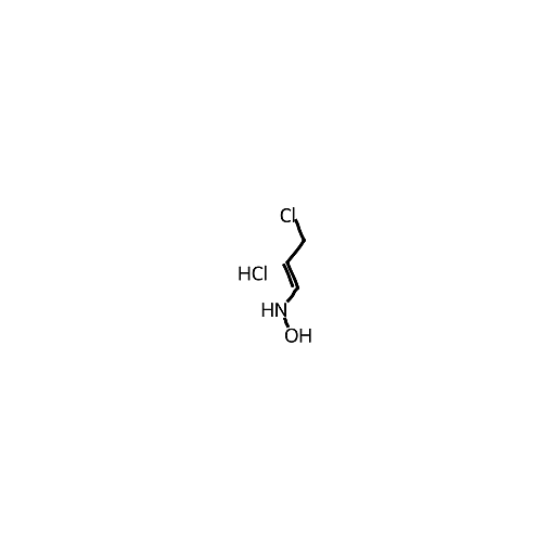 Cl.ONC=CCCl